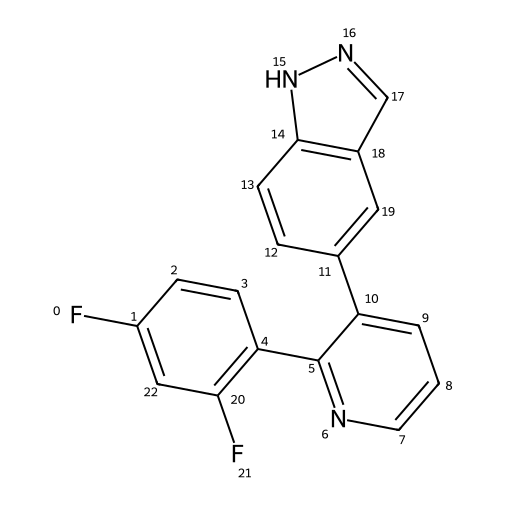 Fc1ccc(-c2ncccc2-c2ccc3[nH]ncc3c2)c(F)c1